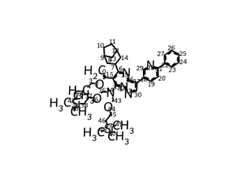 C=C(OCC)c1c(C2CC3CCC(C3)C2)nc2c(-c3ccc(-c4ccccc4)nc3)cnn2c1N(COCC[Si](C)(C)C)COCC[Si](C)(C)C